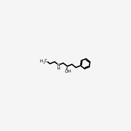 CCCNC[C@H](O)CCc1ccccc1